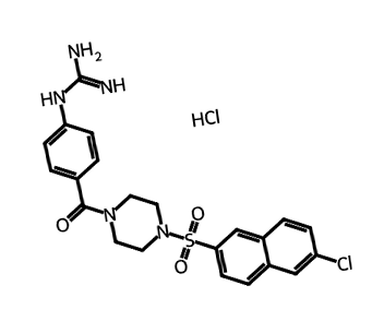 Cl.N=C(N)Nc1ccc(C(=O)N2CCN(S(=O)(=O)c3ccc4cc(Cl)ccc4c3)CC2)cc1